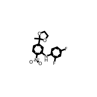 CC1(c2ccc([N+](=O)[O-])c(Nc3ccc(F)cc3F)c2)OCCO1